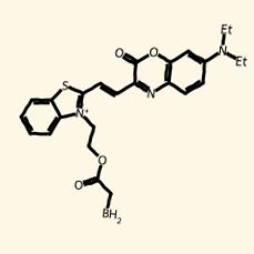 BCC(=O)OCC[n+]1c(/C=C/c2nc3ccc(N(CC)CC)cc3oc2=O)sc2ccccc21